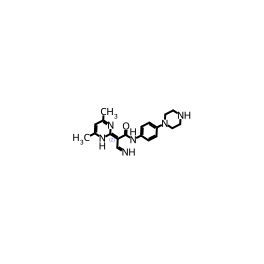 CC1=CC(C)=N/C(=C(/C=N)C(=O)Nc2ccc(N3CCNCC3)cc2)N1